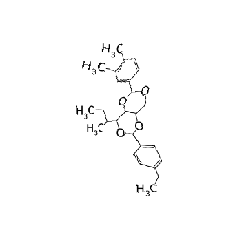 CCc1ccc(C2OC3COC(c4ccc(C)c(C)c4)OC3C(C(C)CC)O2)cc1